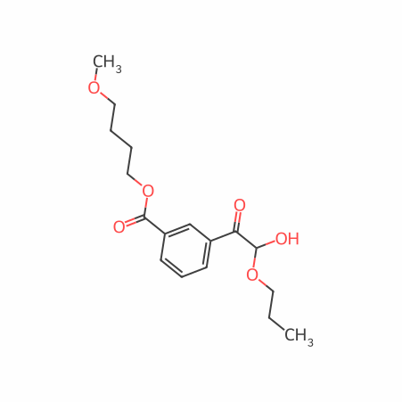 CCCOC(O)C(=O)c1cccc(C(=O)OCCCCOC)c1